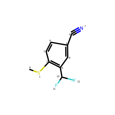 CSc1ccc(C#N)cc1C(F)F